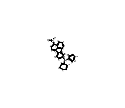 IN(I)c1ccc2c3c(cccc13)-c1cc(N(C3=CCCC=C3)c3ccccc3)ccc1-2